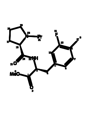 COC(=O)[C@H](Cc1ccc(F)c(F)c1)NC(=O)[C@H]1CCCN1C(C)C